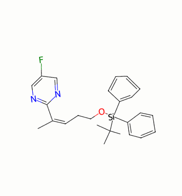 CC(=CCCO[Si](c1ccccc1)(c1ccccc1)C(C)(C)C)c1ncc(F)cn1